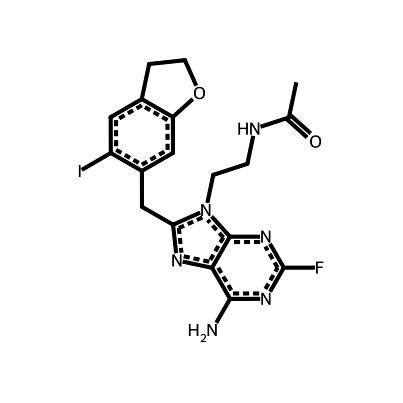 CC(=O)NCCn1c(Cc2cc3c(cc2I)CCO3)nc2c(N)nc(F)nc21